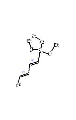 CC/C=C/C=C/[Si](OCC)(OCC)OCC